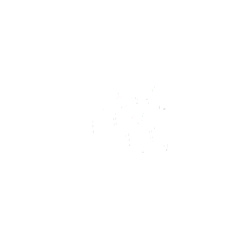 Cc1ccc(S(=O)(=O)NC(F)(F)F)c(-c2ccc(Cl)cc2)c1